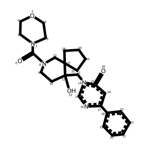 O=C(N1CCOCC1)N1CCC(O)(Cn2cnc(-c3ccccc3)cc2=O)C2(CCCC2)C1